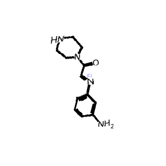 Nc1cccc(/N=C/C(=O)N2CCNCC2)c1